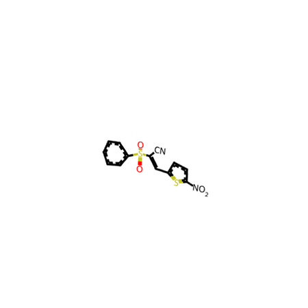 N#CC(=Cc1ccc([N+](=O)[O-])s1)S(=O)(=O)c1ccccc1